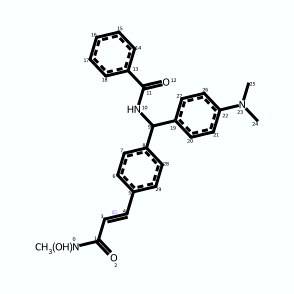 CN(O)C(=O)/C=C/c1ccc(C(NC(=O)c2ccccc2)c2ccc(N(C)C)cc2)cc1